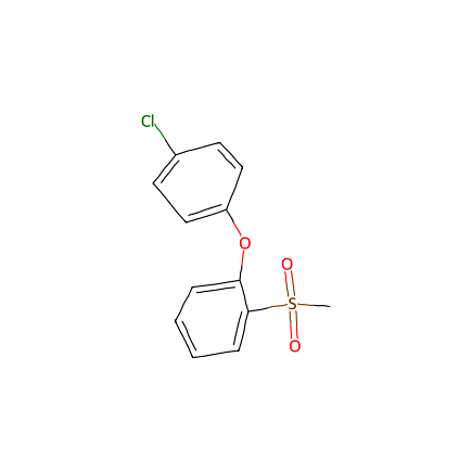 CS(=O)(=O)c1ccccc1Oc1ccc(Cl)cc1